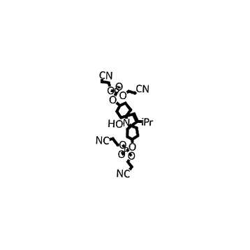 CC(C)C1=CC2(CCC(OP(=O)(OCCC#N)OCCC#N)CC2)N(O)C12CCC(OP(=O)(OCCC#N)OCCC#N)CC2